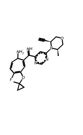 C#C[C@H]1COC[C@@H](C)N1c1cc(C(=N)C2=CC(OC3(C)CC3)=C(F)C=CC2N)ncn1